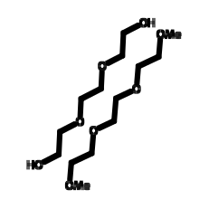 COCCOCCOCCOC.OCCOCCOCCO